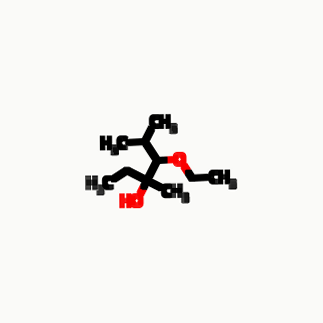 CCOC(C(C)C)C(C)(O)CC